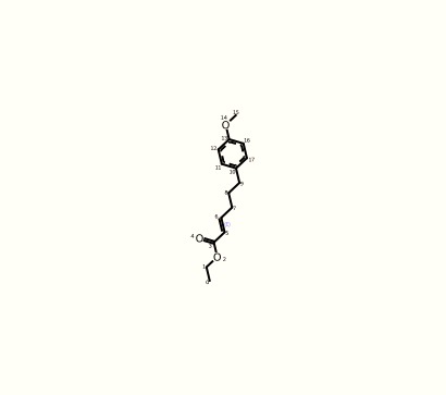 CCOC(=O)/C=C/CCCc1ccc(OC)cc1